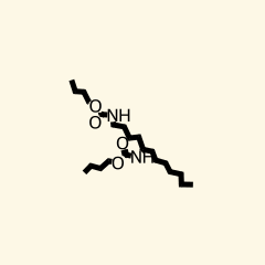 CCCCCCCC(CCCCNC(=O)OCCCC)NC(=O)OCCCC